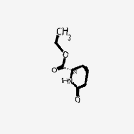 CCOC(=O)[C@@H]1CCCC(=O)N1